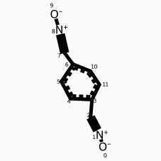 [O-][N+]#Cc1ccc(C#[N+][O-])cc1